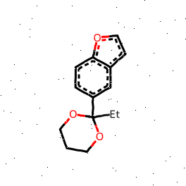 CCC1(c2ccc3occc3c2)OCCCO1